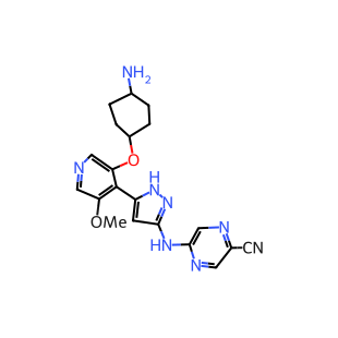 COc1cncc(OC2CCC(N)CC2)c1-c1cc(Nc2cnc(C#N)cn2)n[nH]1